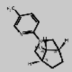 O[C@H]1[C@@H]2CC[C@H]1CN(c1ccc(C(F)(F)F)cn1)C2